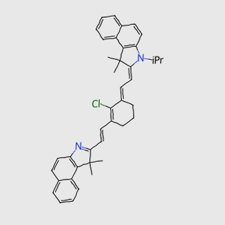 CC(C)N1/C(=C/C=C2\CCCC(/C=C/C3=Nc4ccc5ccccc5c4C3(C)C)=C2Cl)C(C)(C)c2c1ccc1ccccc21